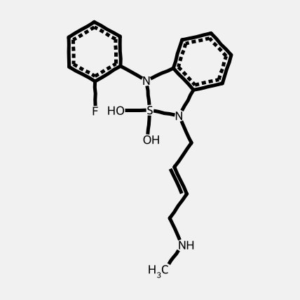 CNCC=CCN1c2ccccc2N(c2ccccc2F)S1(O)O